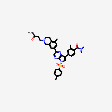 CNC(=O)CCN1CCc2c(C)cc(-c3cnc4c(n3)c(-c3ccc(C(=O)N(C)C)c(C)c3)cn4S(=O)(=O)c3ccc(C)cc3)cc2C1